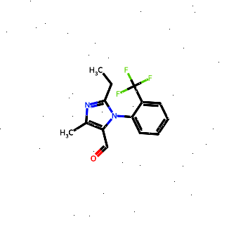 CCc1nc(C)c(C=O)n1-c1ccccc1C(F)(F)F